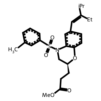 CC/C(=C\c1ccc2c(c1)N(S(=O)(=O)c1cccc(C)c1)C[C@H](CCC(=O)OC)O2)C(C)C